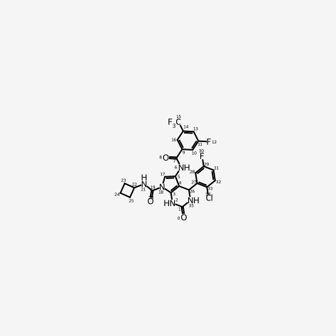 O=C1Nc2c(c(NC(=O)c3cc(F)cc(C(F)(F)F)c3)cn2C(=O)NC2CCC2)C(c2cc(F)ccc2Cl)N1